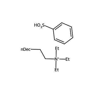 CCCCCCCCCCCC[N+](CC)(CC)CC.O=S(=O)(O)c1ccccc1